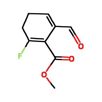 COC(=O)C1=C(F)CCC=C1C=O